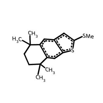 CSc1cc2cc3c(cc2s1)C(C)(C)CCC3(C)C